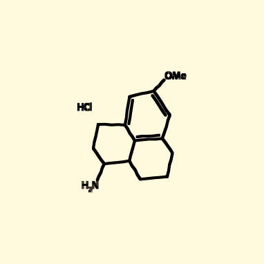 COc1cc2c3c(c1)CCC(N)C3CCC2.Cl